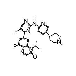 CC(C)n1c(=O)cnc2c(F)cc(-c3nc(Nc4ccc(C5CCN(C)CC5)cn4)ncc3F)cc21